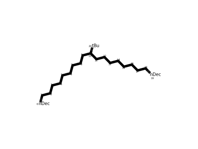 CCCCCCCCCCCCCCCCCCCC(CCCCCCCCCCCCCCCCCC)C(C)(C)C